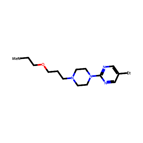 CCc1cnc(N2CCN(CCCOCCNC)CC2)nc1